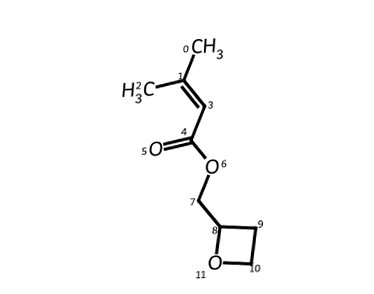 CC(C)=CC(=O)OCC1CCO1